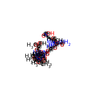 CC[C@H](C)C([C@@H](CC(=O)N1C[C@@H](NC(=O)OCc2ccc(NC(=O)C(CCCNC(N)=O)NC(=O)[C@@H](NC(=O)CCCCCN3C(=O)C=CC3O)C(C)C)cc2)C[C@H]1[C@H](OC)[C@@H](C)C(=O)NCC(=O)c1ccc(OC)c(OC)c1)OC)N(C)C(=O)[C@@H](NC(=O)[C@H](C(C)C)N(C)C)C(C)C